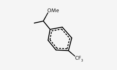 COC(C)c1ccc(C(F)(F)F)cc1